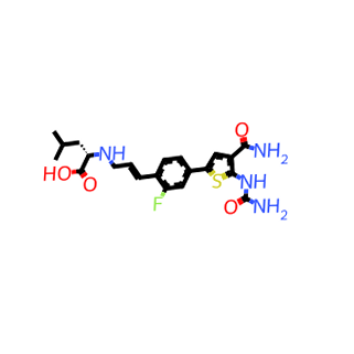 CC(C)C[C@H](NCC=Cc1ccc(-c2cc(C(N)=O)c(NC(N)=O)s2)cc1F)C(=O)O